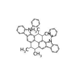 CC1c2cc3c4ccccc4n(-c4ccccc4)c3c3c2-c2c(cc4c5ccccc5n(-c5ccccc5)c4c2C(C)C3C)C1C